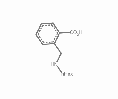 CCCCCCNCc1ccccc1C(=O)O